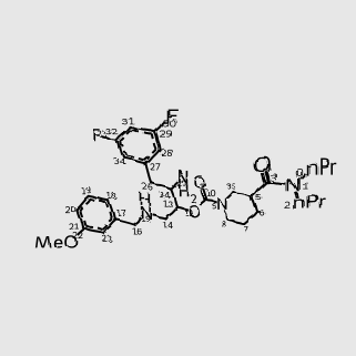 CCCN(CCC)C(=O)C1CCCN(C(=O)OC(CNCc2cccc(OC)c2)C(N)Cc2cc(F)cc(F)c2)C1